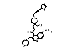 COc1ccc2ncc(CN3CCOCC3)c(C(O)CCC3(CO)CCN(CC#Cc4cccs4)CC3)c2c1